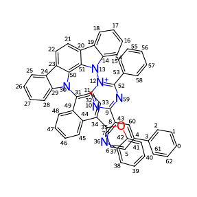 c1ccc(-c2cccc(-c3nc[n+](-n4c5ccccc5c5ccc6c7ccccc7n(-c7ccc(-c8nc9ccccc9o8)c8ccccc78)c6c54)c(-c4ccccc4)n3)c2)cc1